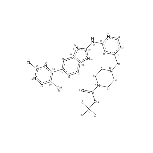 CC(C)(C)OC(=O)N1CCN(Cc2ccnc(Nc3nc4ccc(-c5nc(Cl)ncc5O)cc4[nH]3)c2)CC1